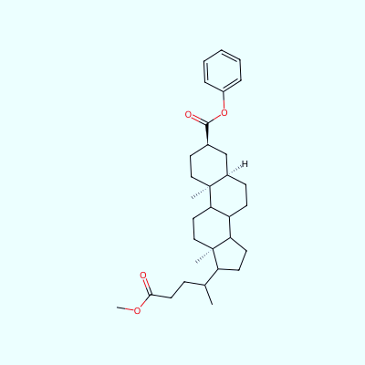 COC(=O)CCC(C)C1CCC2C3CC[C@@H]4C[C@H](C(=O)Oc5ccccc5)CC[C@]4(C)C3CC[C@]12C